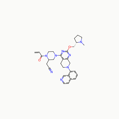 C=CC(=O)N1CCN(c2nc(OC[C@@H]3CCCN3C)nc3c2CCN(c2cccc4ccncc24)C3)CC1CC#N